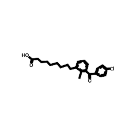 Cc1c(CCCCCCCCC(=O)O)cccc1C(=O)c1ccc(Cl)cc1